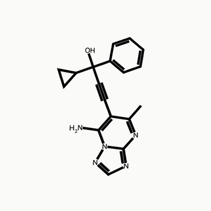 Cc1nc2ncnn2c(N)c1C#CC(O)(c1ccccc1)C1CC1